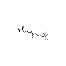 C=C(C)C(=O)OCCSC(=S)SCCC[Si](OC)(OC)OC